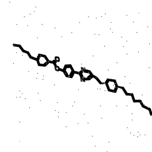 CCCCCCCCCC[C@H]1CC[C@H](CCc2cnc(-c3ccc(OC(=O)C4CCC(CCCCC)CC4)cc3)nc2)CC1